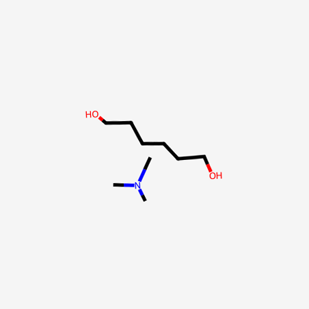 CN(C)C.OCCCCCCO